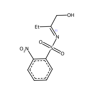 CC/C(CO)=N\S(=O)(=O)c1ccccc1[N+](=O)[O-]